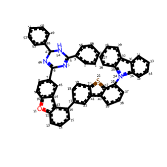 c1ccc(C2=NC(c3ccc4oc5cccc(-c6ccc7sc8c(-n9c%10ccccc%10c%10ccccc%109)cccc8c7c6)c5c4c3)=NC(c3ccccc3)N2)cc1